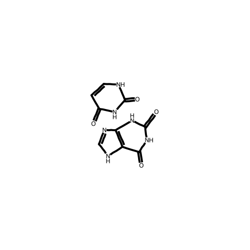 O=c1[nH]c(=O)c2[nH]cnc2[nH]1.O=c1cc[nH]c(=O)[nH]1